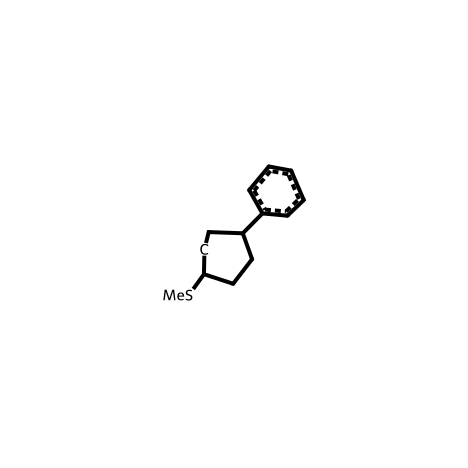 CSC1CCC(c2ccccc2)CC1